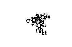 CCNCc1cccc(-c2nc3cc(Cl)ccc3c(=O)n2-c2ccc(Cl)c(F)c2)c1Cl